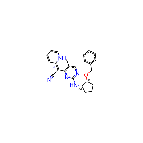 Cc1cnc(N[C@H]2CCC[C@@H]2OCc2ccccc2)nc1/C(C#N)=C1/C=CC=CN1